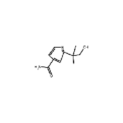 CC(C)(CO)c1cc(C(N)=O)ccn1